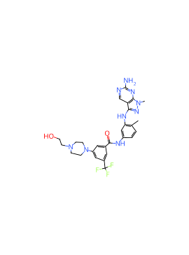 Cc1ccc(NC(=O)c2cc(N3CCN(CCO)CC3)cc(C(F)(F)F)c2)cc1Nc1nn(C)c2nc(N)ncc12